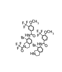 COc1ccc(C(=O)Nc2ccc3c(c2Br)CN(C(=O)C(F)(F)F)CC3)cc1C(F)(F)F.COc1ccc(C(=O)Nc2ccc3c(c2Br)CNCC3)cc1C(F)(F)F